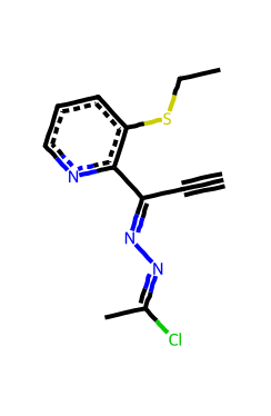 C#C/C(=N\N=C(/C)Cl)c1ncccc1SCC